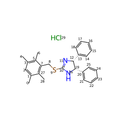 Cc1cc(C)c(C)c(CSC2=N[C@H](c3ccccc3)[C@H](c3ccccc3)N2)c1C.Cl